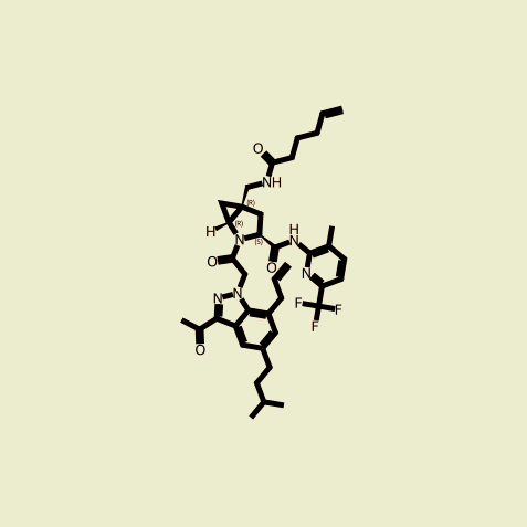 C=CCCCC(=O)NC[C@@]12C[C@@H](C(=O)Nc3nc(C(F)(F)F)ccc3C)N(C(=O)Cn3nc(C(C)=O)c4cc(CCC(C)C)cc(CC=C)c43)[C@@H]1C2